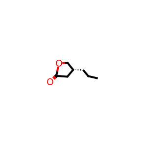 CCC[C@H]1COC(=O)C1